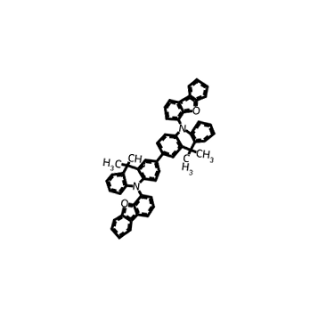 CC1(C)c2ccccc2N(c2cccc3c2oc2ccccc23)c2ccc(-c3ccc4c(c3)C(C)(C)c3ccccc3N4c3cccc4c3oc3ccccc34)cc21